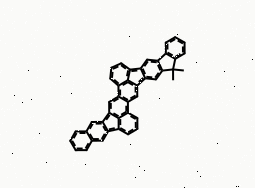 CC1(C)c2ccccc2-c2cc3c(cc21)c1cc2c(cc4c5cc6ccccc6cc5c5cccc2c54)c2cccc3c21